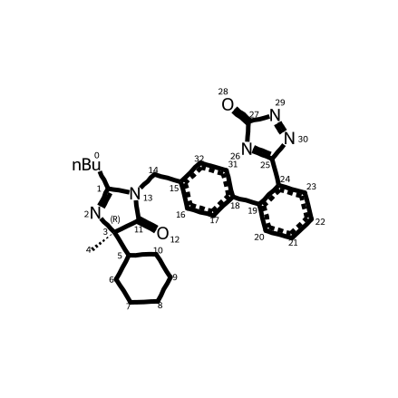 CCCCC1=N[C@](C)(C2CCCCC2)C(=O)N1Cc1ccc(-c2ccccc2C2=NC(=O)N=N2)cc1